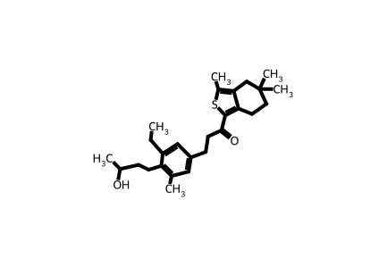 CCc1cc(CCC(=O)c2sc(C)c3c2CCC(C)(C)C3)cc(C)c1CCC(C)O